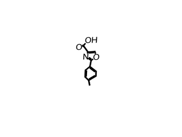 Cc1ccc(-c2nc(C(=O)O)co2)cc1